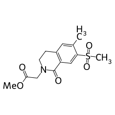 COC(=O)CN1CCc2cc(C)c(S(C)(=O)=O)cc2C1=O